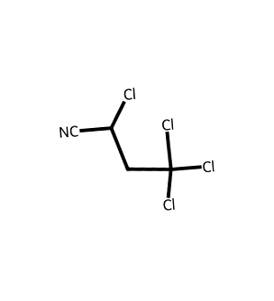 N#CC(Cl)CC(Cl)(Cl)Cl